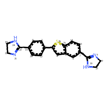 c1cc(-c2cc3cc(C4=NCCN4)ccc3s2)ccc1C1=NCCN1